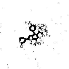 COC(=O)C(OC(C)(C)C)c1c(C)c([N+](=O)[O-])c2[nH]c(-c3ccnc(Cl)c3)cc2c1-c1ccc(C)cc1